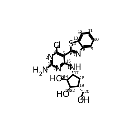 Nc1nc(Cl)c(-c2nc3ccccc3s2)c(N[C@@H]2C[C@H](CO)[C@@H](O)[C@H]2O)n1